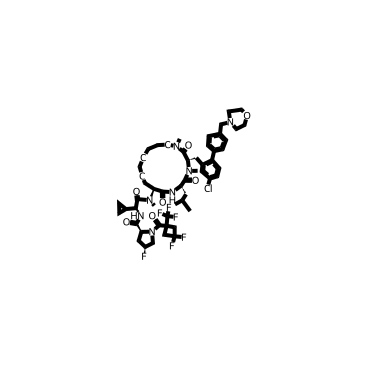 CC(C)C[C@@H]1NC(=O)[C@@H](N(C)C(=O)[C@@H](NC(=O)[C@@H]2C[C@@H](F)CN2C(=O)C2(C(F)(F)F)CC(F)(F)C2)C2CC2)CCCCCCCN(C)C(=O)[C@H](Cc2cc(Cl)ccc2-c2ccc(CN3CCOCC3)cc2)N(C)C1=O